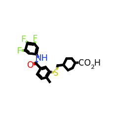 Cc1ccc(C(=O)Nc2cc(F)c(F)c(F)c2)cc1SCC1CCC(C(=O)O)CC1